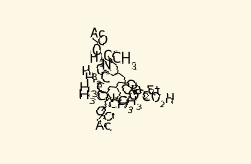 CCOC(=O)C(CC1CC(C)(C)N(CCOC(=O)CC(C)=O)C(C)(C)C1)(CC1CC(C)(C)N(CCOC(=O)CC(C)=O)C(C)(C)C1)OC(=O)CC(=O)O